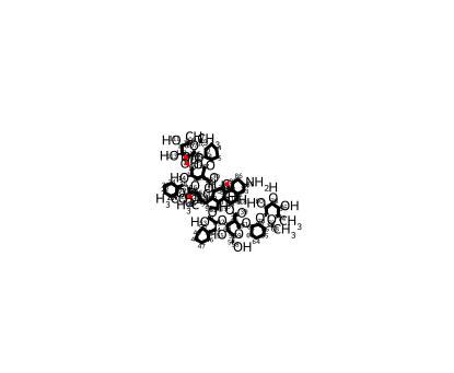 CC[C@@H]1CCC[C@@H](O[C@@H]2O[C@@H](CO)[C@H](O)C(O[C@@H](CC3CCCCC3)C(=O)O)C2C(=O)O[C@H]2C[C@H]3[C@@H]([C@H](OC(=O)C4C(O[C@@H](CC5CCCCC5)C(=O)O)[C@@H](O)[C@H](CO)O[C@H]4O[C@@H]4CCC[C@@H](CC)[C@H]4OC4O[C@@H](C)[C@H](O)C(O)[C@@H]4O)C[C@@H]4C[C@@H](N)CC[C@@]43C)[C@@H]3CC[C@H]([C@H](C)CCC(=O)OC)[C@@]23C)[C@@H]1OC1O[C@@H](C)[C@H](O)[C@H](O)C1O